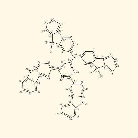 CC1(C)c2ccccc2-c2ccc(N(c3ccc4c(c3)C(C)(C)c3ccccc3-4)c3cc(-c4ccc5sc6ccccc6c5c4)nc(-c4ccc5sc6ccccc6c5c4)n3)cc21